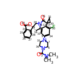 CN(C)C(=O)N1CCN(c2ccc(C3(C(=O)N4CC[C@@]5(C4)OC(=O)c4ccccc45)CC3)c(F)c2)CC1